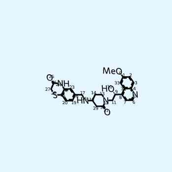 COc1ccc2nccc([C@@H](O)CN3CCC(NCc4ccc5c(c4)NC(=O)CS5)CC3=O)c2c1